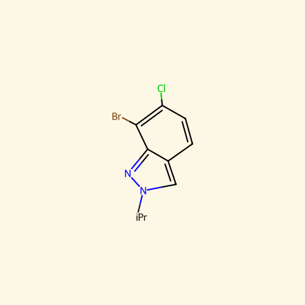 CC(C)n1cc2ccc(Cl)c(Br)c2n1